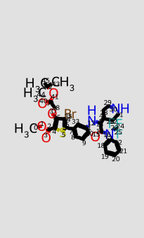 COC(=O)c1sc(-c2cccc(NC(C(=O)N(c3ccccc3)C(F)(F)F)C3CCNCC3)c2)c(Br)c1OCC(=O)OC(C)(C)C